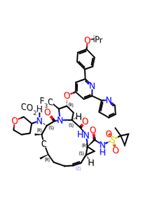 CC(C)Oc1ccc(-c2cc(O[C@@H]3C[C@H]4C(=O)N[C@]5(C(=O)NS(=O)(=O)C6(C)CC6)C[C@H]5/C=C\CC[C@@H](C)C[C@@H](C)[C@H](N(C(=O)O)C5CCCOC5)C(=O)N4C3C(F)(F)F)cc(-c3ccccn3)n2)cc1